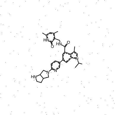 Cc1cc(C)c(CNC(=O)c2cc(-c3ccc(N4CC5CCNC5C4)nc3)cc3c2c(C)cn3C(C)C)c(=O)[nH]1